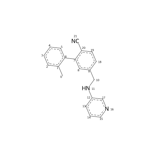 Cc1ccccc1-c1cc(CNc2cccnc2)ccc1C#N